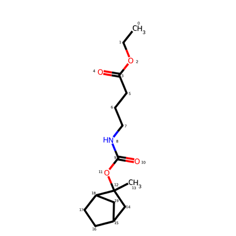 CCOC(=O)CCCNC(=O)OC1(C)CC2CCC1C2